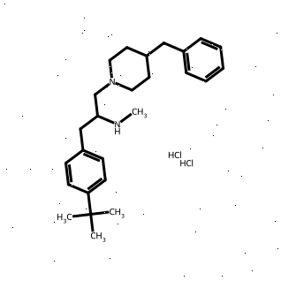 CNC(Cc1ccc(C(C)(C)C)cc1)CN1CCC(Cc2ccccc2)CC1.Cl.Cl